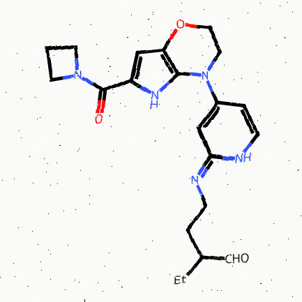 CCC(C=O)CC/N=c1/cc(N2CCOc3cc(C(=O)N4CCC4)[nH]c32)cc[nH]1